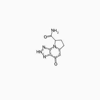 NC(=O)C1CCc2cc(=O)c3n[nH]nc3n21